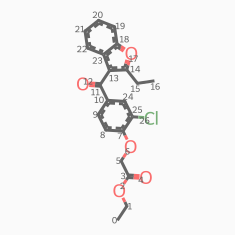 CCOC(=O)COc1ccc(C(=O)c2c(CC)oc3ccccc23)cc1Cl